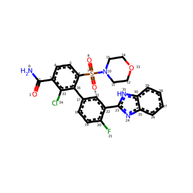 NC(=O)c1ccc(S(=O)(=O)N2CCOCC2)c(-c2ccc(F)c(-c3nc4ccccc4[nH]3)c2)c1Cl